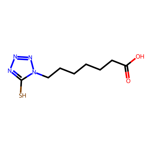 O=C(O)CCCCCCn1nnnc1S